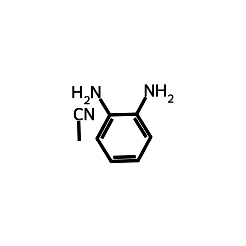 CC#N.Nc1ccccc1N